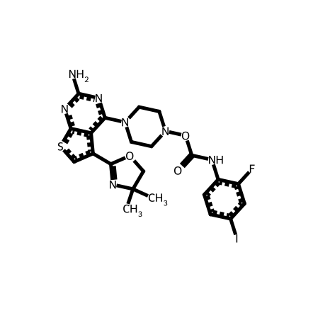 CC1(C)COC(c2csc3nc(N)nc(N4CCN(OC(=O)Nc5ccc(I)cc5F)CC4)c23)=N1